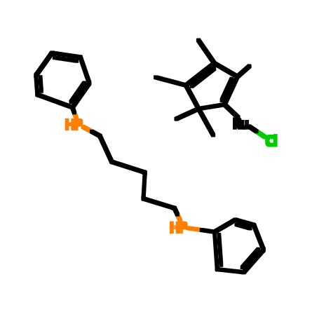 CC1=C(C)C(C)(C)[C]([Ru][Cl])=C1C.c1ccc(PCCCCCPc2ccccc2)cc1